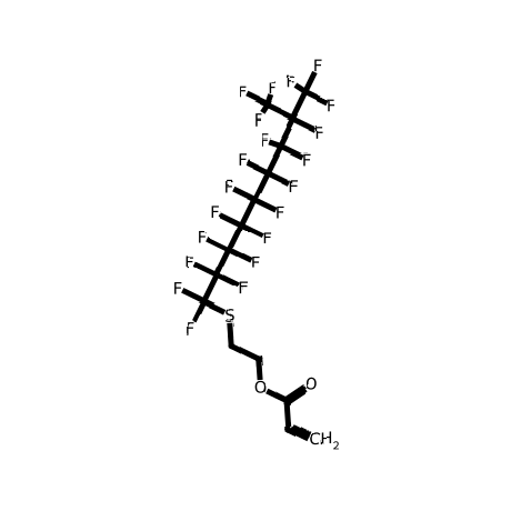 C=CC(=O)OCCSC(F)(F)C(F)(F)C(F)(F)C(F)(F)C(F)(F)C(F)(F)C(F)(F)C(F)(C(F)(F)F)C(F)(F)F